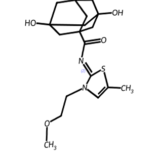 COCCn1cc(C)s/c1=N\C(=O)C12CC3CC(O)(CC(O)(C3)C1)C2